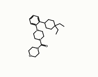 CCC1(CC)CCC(c2ccccc2N2CCN(C(=O)N3CCOCC3)CC2)CC1